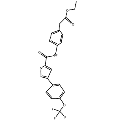 CCOC(=O)Cc1ccc(NC(=O)c2cc(-c3ccc(OC(F)(F)F)cc3)cs2)cc1